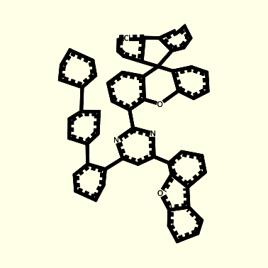 c1ccc(-c2ccc(-c3ccccc3-c3cc(-c4cccc5c4oc4ccccc45)nc(-c4cccc5c4Oc4ccccc4C54c5ccccc5-c5ccccc54)n3)cc2)cc1